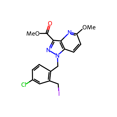 COC(=O)c1nn(Cc2ccc(Cl)cc2CI)c2ccc(OC)nc12